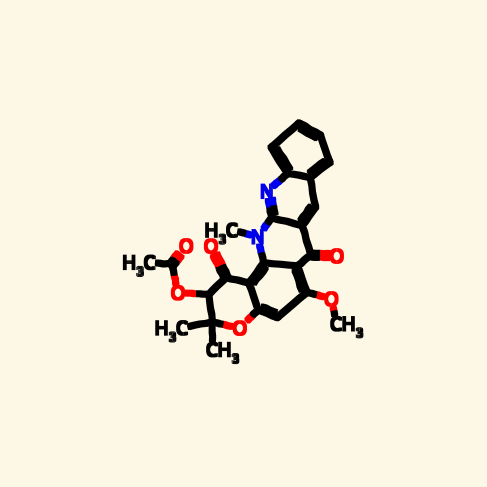 COc1cc2c(c3c1c(=O)c1cc4ccccc4nc1n3C)C(=O)C(OC(C)=O)C(C)(C)O2